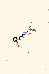 COCc1ccccc1C(=O)CC(CCNC(=O)OC(C)(C)C)C(F)F